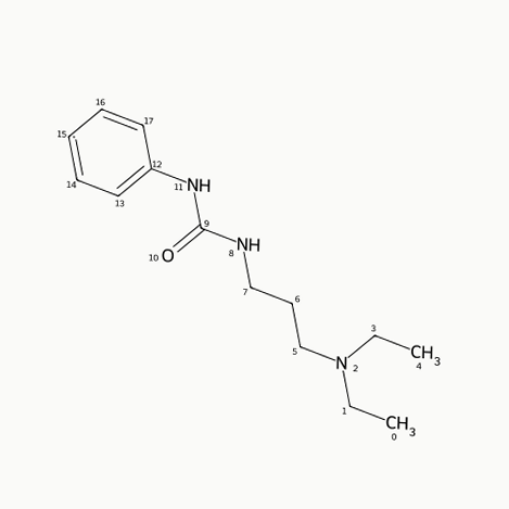 CCN(CC)CCCNC(=O)Nc1cc[c]cc1